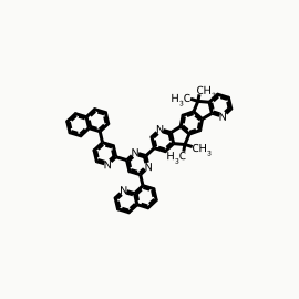 CC1(C)c2cc3c(cc2-c2ncccc21)C(C)(C)c1cc(-c2nc(-c4cc(-c5cccc6ccccc56)ccn4)cc(-c4cccc5cccnc45)n2)cnc1-3